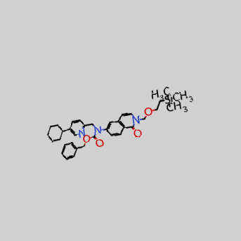 C[Si](C)(C)CCOCn1ccc2cc(N(Cc3ccc(C4CCCCC4)cn3)C(=O)OCc3ccccc3)ccc2c1=O